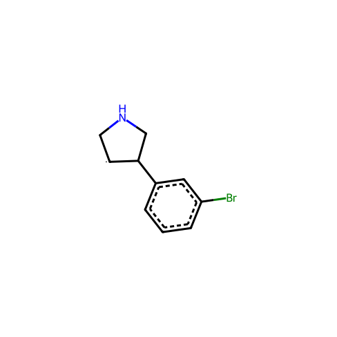 Brc1cccc(C2[CH]CNC2)c1